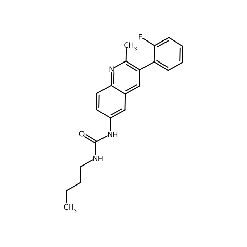 CCCCNC(=O)Nc1ccc2nc(C)c(-c3ccccc3F)cc2c1